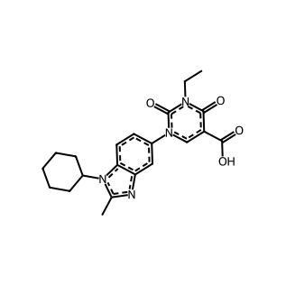 CCn1c(=O)c(C(=O)O)cn(-c2ccc3c(c2)nc(C)n3C2CCCCC2)c1=O